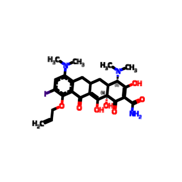 C=CCOc1c(I)cc(N(C)C)c2c1C(=O)C1=C(O)[C@]3(O)C(=O)C(C(N)=O)=C(O)[C@@H](N(C)C)C3CC1C2